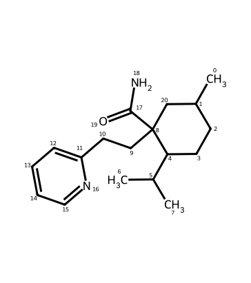 CC1CCC(C(C)C)C(CCc2ccccn2)(C(N)=O)C1